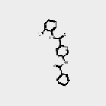 Nc1ccccc1NC(=O)c1cnc(NC(=O)c2ccccc2)cn1